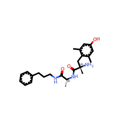 Cc1cc(O)cc(C)c1C[C@](C)(N)C(=O)N[C@H](C)C(=O)NCCCc1ccccc1